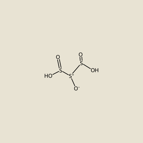 O=S(O)[S+]([O-])S(=O)O